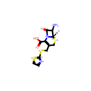 NC1C(=O)N2C(C(=O)O)=C(CSc3nccs3)CS[C@@H]12